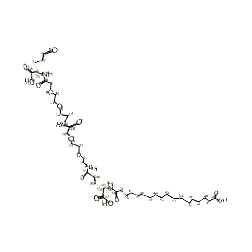 O=[C]CC[C@H](NC(=O)COCCOCCNC(=O)COCCOCCNC(=O)CC[C@H](NC(=O)CCCCCCCCCCCCCCCCC(=O)O)C(=O)O)C(=O)O